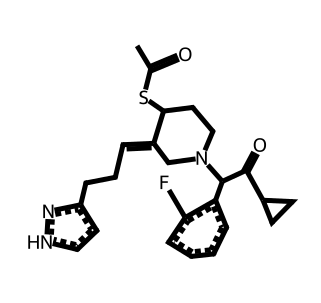 CC(=O)SC1CCN(C(C(=O)C2CC2)c2ccccc2F)C/C1=C\CCc1cc[nH]n1